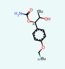 CC[C@H](C)COc1ccc([C@@H](OC(N)=O)C(O)C(C)(C)C)cc1